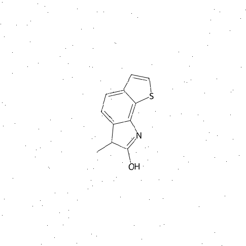 CC1C(O)=Nc2c1ccc1ccsc21